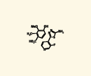 COc1c(O)ccc(C(=O)O)c1C.Nc1nnc(-c2ccncc2F)s1